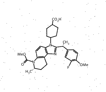 COC(=O)N1c2ccc3c(nc([C@H](C)c4ccc(OC)c(F)c4)n3C3CCC(C(=O)O)CC3)c2CC[C@@H]1C